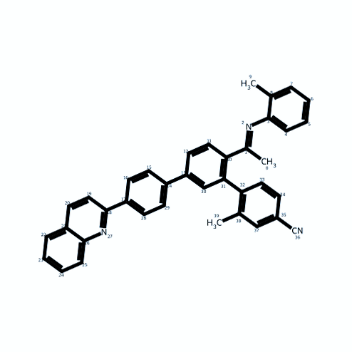 C/C(=N\c1ccccc1C)c1ccc(-c2ccc(-c3ccc4ccccc4n3)cc2)cc1-c1ccc(C#N)cc1C